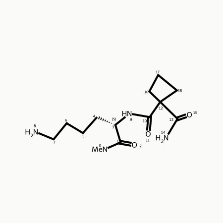 CNC(=O)[C@H](CCCCN)NC(=O)C1(C(N)=O)CCC1